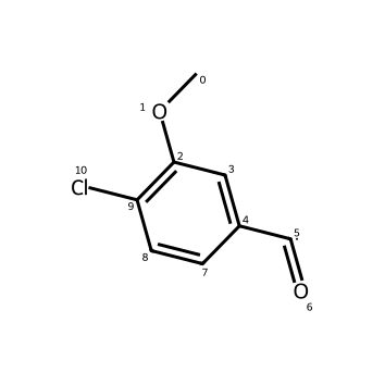 COc1cc([C]=O)ccc1Cl